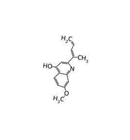 C=C/C=C(\C)c1cc(O)c2ccc(OC)cc2n1